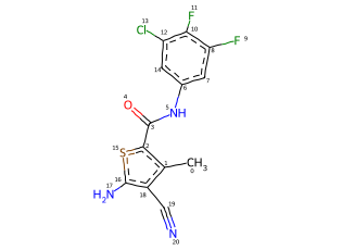 Cc1c(C(=O)Nc2cc(F)c(F)c(Cl)c2)sc(N)c1C#N